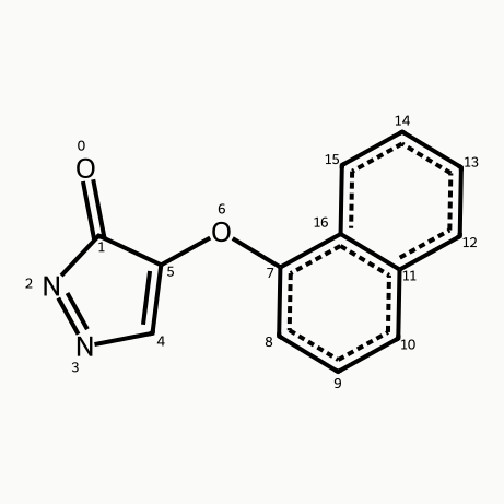 O=C1N=NC=C1Oc1cccc2ccccc12